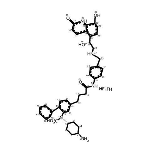 F.F.N[C@H]1CC[C@H](N(C(=O)O)c2cc(CCCC(=O)Nc3ccc(CNC[C@H](O)c4ccc(O)c5[nH]c(=O)ccc45)cc3)ccc2-c2ccccc2)CC1